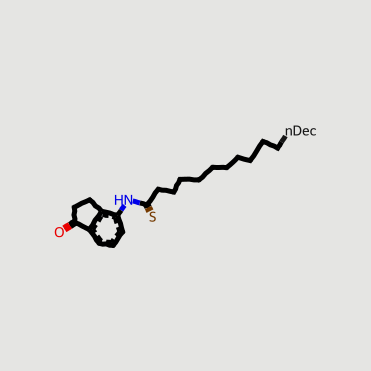 CCCCCCCCCCCCCCCCCCCCC(=S)Nc1cccc2c1CCC2=O